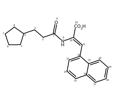 O=C(CCC1CCCC1)NC(=Cc1cccc2ccccc12)C(=O)O